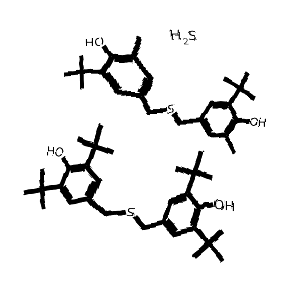 CC(C)(C)c1cc(CSCc2cc(C(C)(C)C)c(O)c(C(C)(C)C)c2)cc(C(C)(C)C)c1O.Cc1cc(CSCc2cc(C)c(O)c(C(C)(C)C)c2)cc(C(C)(C)C)c1O.S